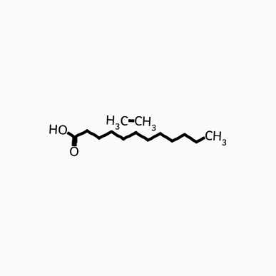 CC.CCCCCCCCCCCC(=O)O